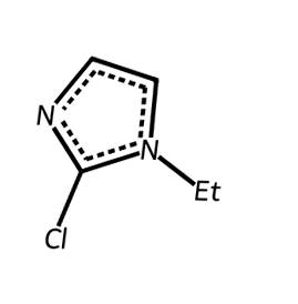 CCn1ccnc1Cl